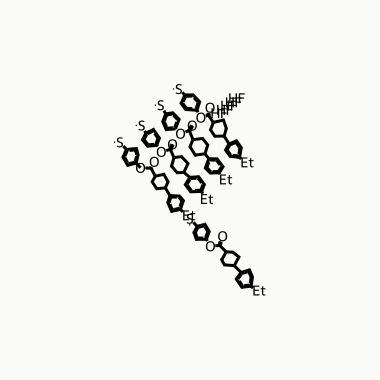 CCc1ccc(C2CCC(C(=O)Oc3ccc([S])cc3)CC2)cc1.CCc1ccc(C2CCC(C(=O)Oc3ccc([S])cc3)CC2)cc1.CCc1ccc(C2CCC(C(=O)Oc3ccc([S])cc3)CC2)cc1.CCc1ccc(C2CCC(C(=O)Oc3ccc([S])cc3)CC2)cc1.CCc1ccc(C2CCC(C(=O)Oc3ccc([S])cc3)CC2)cc1.F.F.F.F.F